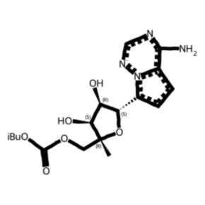 CC(C)COC(=O)OC[C@@]1(C)O[C@@H](c2ccc3c(N)ncnn23)[C@H](O)[C@@H]1O